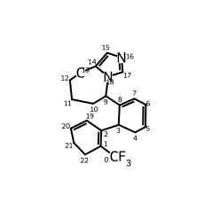 FC(F)(F)C1=C(C2CC=CC=C2C2CCCCc3cncn32)C=CCC1